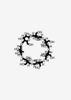 CC1O[C@H]2O[C@@H]3C(CO)O[C@H](O[C@@H]4C(CO)O[C@H](O[C@@H]5C(CO)O[C@@H](O[C@@H]6C(CO)O[C@@H](O[C@@H]7C(CO)O[C@H](O[C@@H]8C(CO)O[C@H](O[C@H]1[C@H](O)C2O)C(O)[C@H]8O)C(O)[C@H]7O)C(O)[C@H]6O)C(O)[C@H]5O)C(O)[C@H]4O)C(O)[C@H]3O